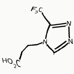 O=C(O)Cn1[c]nnc1C(F)(F)F